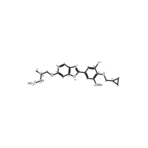 COc1cc(-c2nc3cnc(OC[C@H](C)NC(=O)O)cc3o2)cc(F)c1OCC1CC1